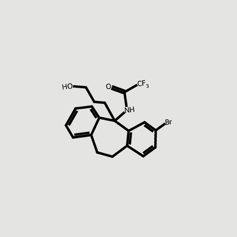 O=C(NC1(CCCO)c2ccccc2CCc2ccc(Br)cc21)C(F)(F)F